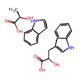 CC(O)C(=O)O.O=C(O)C(O)Cc1c[nH]c2ccccc12.c1ccc2[nH]ccc2c1